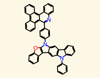 c1ccc(-n2c3ccccc3c3cc4c(cc32)c2c3ccccc3oc2n4-c2ccc(-c3nc4ccccc4c4c5ccccc5c5ccccc5c34)cc2)cc1